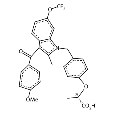 COc1ccc(C(=O)c2c(C)n(Cc3ccc(O[C@@H](C)C(=O)O)cc3)c3cc(OC(F)(F)F)ccc23)cc1